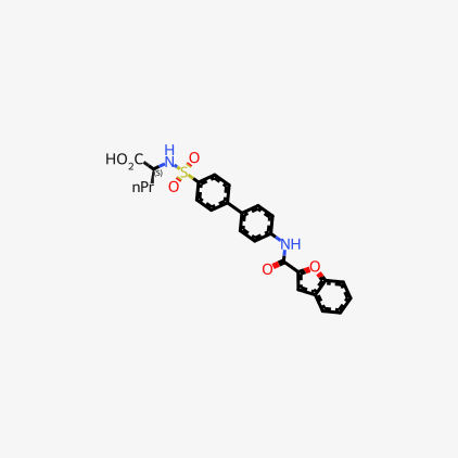 CCC[C@H](NS(=O)(=O)c1ccc(-c2ccc(NC(=O)c3cc4ccccc4o3)cc2)cc1)C(=O)O